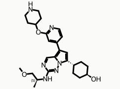 COC[C@H](C)Nc1ncc2c(-c3ccnc(OC4CCNCC4)c3)cc([C@H]3CC[C@H](O)CC3)n2n1